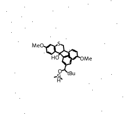 COc1ccc(C2CSc3cc(OC)ccc3C2(O)c2cccc(C(O[SiH](C)C)C(C)(C)C)c2)cc1